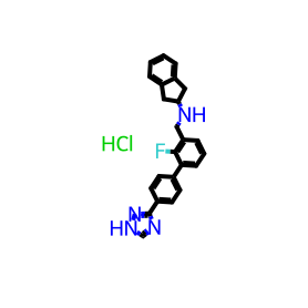 Cl.Fc1c(CNC2Cc3ccccc3C2)cccc1-c1ccc(-c2nc[nH]n2)cc1